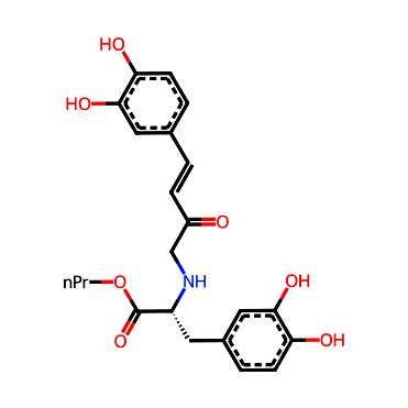 CCCOC(=O)[C@@H](Cc1ccc(O)c(O)c1)NCC(=O)C=Cc1ccc(O)c(O)c1